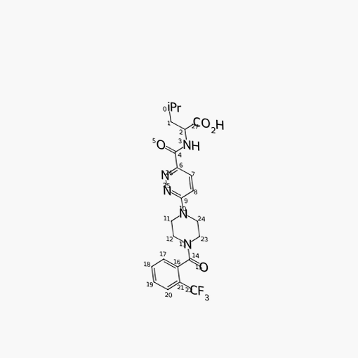 CC(C)CC(NC(=O)c1ccc(N2CCN(C(=O)c3ccccc3C(F)(F)F)CC2)nn1)C(=O)O